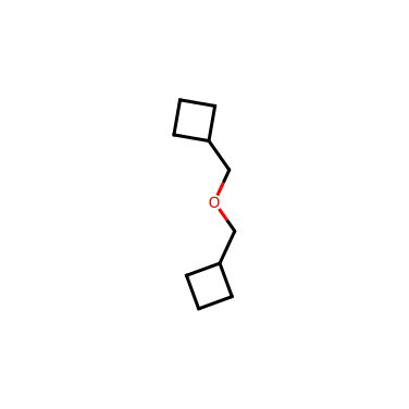 C1CC(COCC2CCC2)C1